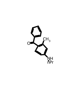 CCCNc1ccc(C(=O)c2ccccc2)c(C)c1